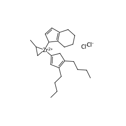 CCCCC1=C(CCCC)C[C]([Zr+2]2([CH]3C=CC4=C3CCCC4)[CH2][CH]2C)=C1.[Cl-].[Cl-]